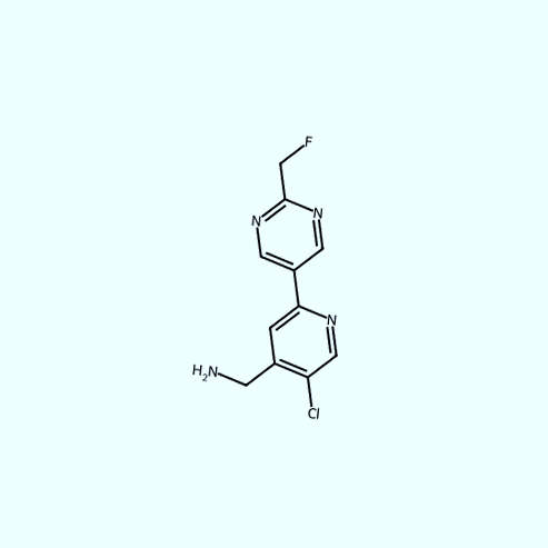 NCc1cc(-c2cnc(CF)nc2)ncc1Cl